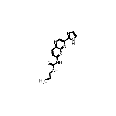 C=CCNC(=S)Nc1ccc2ncc(-c3ncc[nH]3)nc2n1